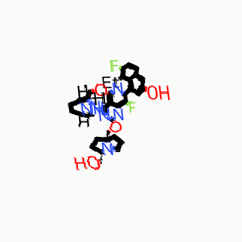 CCc1c(F)ccc2cc(O)cc(-c3nc4c5c(nc(OC[C@@]67CCCN6[C@H](CO)CC7)nc5c3F)N3C[C@@H]5CC[C@@H](N5)[C@H]3CO4)c12